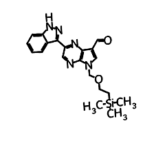 C[Si](C)(C)CCOCn1cc(C=O)c2nc(-c3n[nH]c4ccccc34)cnc21